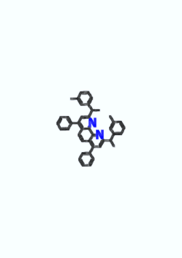 Cc1cccc(C(C)c2cc(-c3ccccc3)c3ccc4c(-c5ccccc5)cc(C(C)c5cccc(C)c5)nc4c3n2)c1